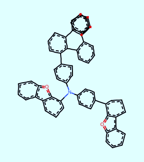 c1ccc(-c2ccccc2-c2c(-c3ccccc3)cccc2-c2ccc(N(c3ccc(-c4cccc5c4oc4ccccc45)cc3)c3cccc4c3oc3ccccc34)cc2)cc1